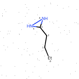 CCCCC1NN1